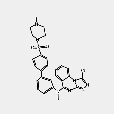 CN1CCN(S(=O)(=O)c2ccc(-c3cccc(N(C)c4nc5nnc(Cl)n5c5ccccc45)c3)cc2)CC1